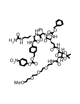 COCCOCCOCCOCCNC(=O)[C@H]1OC(NC(=O)CC[C@H](NC(=O)OCc2ccccc2)C(=O)N[C@H](C(=O)N[C@@H](CCCNC(N)=O)C(=O)Nc2ccc(COC(=O)Oc3ccc([N+](=O)[O-])cc3)cc2)C(C)C)[C@@H]2OC(C)(C)O[C@H]12